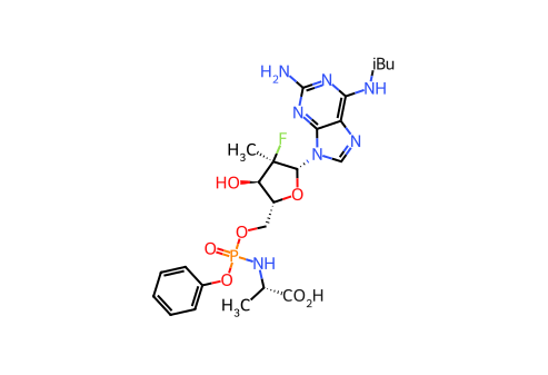 CCC(C)Nc1nc(N)nc2c1ncn2[C@@H]1O[C@H](COP(=O)(N[C@@H](C)C(=O)O)Oc2ccccc2)[C@@H](O)[C@@]1(C)F